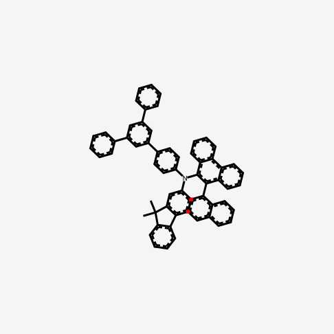 CC1(C)c2ccccc2-c2ccc(N(c3ccc(-c4cc(-c5ccccc5)cc(-c5ccccc5)c4)cc3)c3c(-c4cccc5ccccc45)c4ccccc4c4ccccc34)cc21